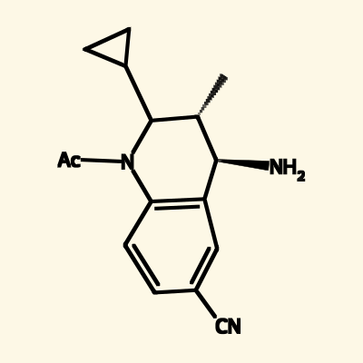 CC(=O)N1c2ccc(C#N)cc2[C@H](N)[C@@H](C)C1C1CC1